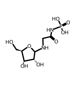 O=C(CNC1O[C@H](CO)[C@@H](O)[C@H]1O)NP(=O)(O)O